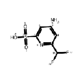 N.O=S(=O)(O)c1cccc(C(F)F)n1